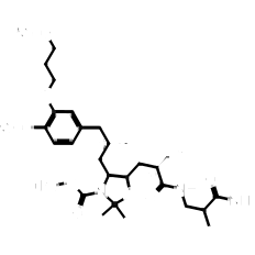 COCCCOc1cc(C[C@@H](CC2C(C[C@H](C(=O)NCC(C)C(N)=O)C(C)C)OC(C)(C)N2C(=O)OC(C)(C)C)C(C)C)ccc1OC